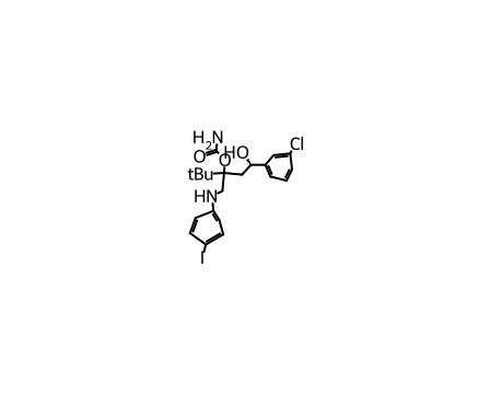 CC(C)(C)C(CNc1ccc(I)cc1)(C[C@@H](O)c1cccc(Cl)c1)OC(N)=O